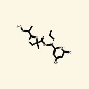 CCC[C@@H](NC(=O)C1(C)CSC(/C(C)=N/O)=N1)c1cc(O)cc(=O)[nH]1